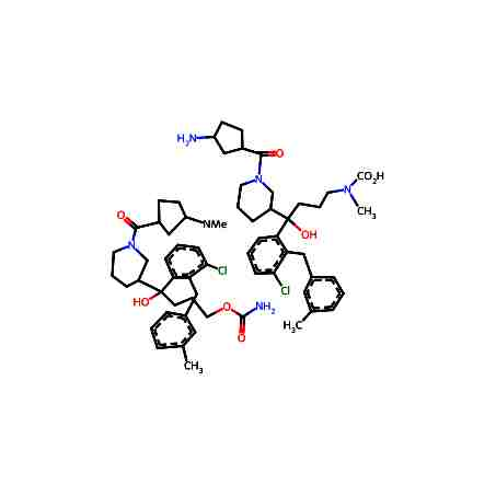 CNC1CCC(C(=O)N2CCCC(C(O)(CCCOC(N)=O)c3cccc(Cl)c3Cc3cccc(C)c3)C2)C1.Cc1cccc(Cc2c(Cl)cccc2C(O)(CCCN(C)C(=O)O)C2CCCN(C(=O)C3CCC(N)C3)C2)c1